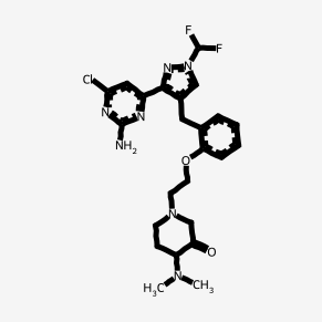 CN(C)C1CCN(CCOc2ccccc2Cc2cn(C(F)F)nc2-c2cc(Cl)nc(N)n2)CC1=O